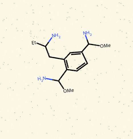 CCC(N)Cc1cc(C(N)OC)ccc1C(N)OC